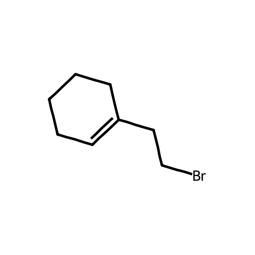 BrCCC1=CCCCC1